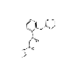 CCOC(=O)CC(=O)c1ccccc1Cc1ccccc1